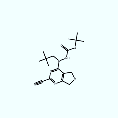 CC(C)(C)CN(NC(=O)OC(C)(C)C)c1nc(C#N)nc2c1COC2